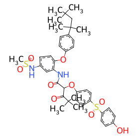 CC(C)(C)CC(C)(C)c1ccc(Oc2ccc(NS(C)(=O)=O)cc2NC(=O)C(Oc2ccc(S(=O)(=O)c3ccc(O)cc3)cc2)C(=O)C(C)(C)C)cc1